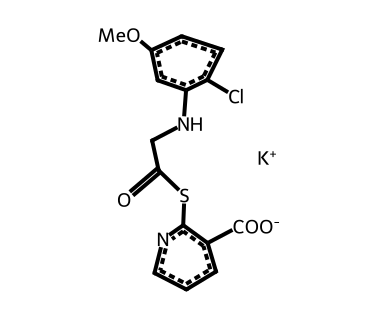 COc1ccc(Cl)c(NCC(=O)Sc2ncccc2C(=O)[O-])c1.[K+]